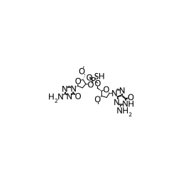 COC[C@H]1O[C@@H](n2cnc(N)nc2=O)CC1OP(=O)(S)OC[C@H]1O[C@@H](n2cnc3c(=O)[nH]c(N)nc32)C[C@H]1OC